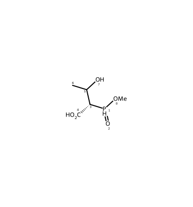 CO[PH](=O)[C@H](C(=O)O)C(C)O